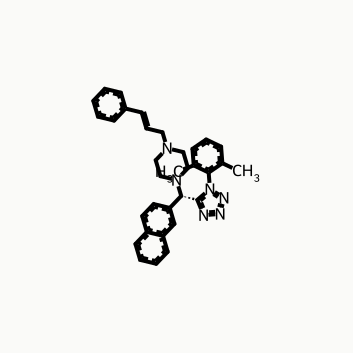 Cc1cccc(C)c1-n1nnnc1[C@H](c1ccc2ccccc2c1)N1CCN(C/C=C/c2ccccc2)CC1